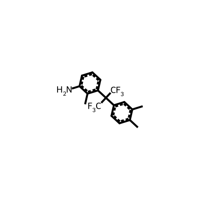 Cc1ccc(C(c2cccc(N)c2C)(C(F)(F)F)C(F)(F)F)cc1C